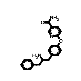 NC(=O)c1ccc(Oc2ccc(CC(N)Cc3ccccc3)cc2)nc1